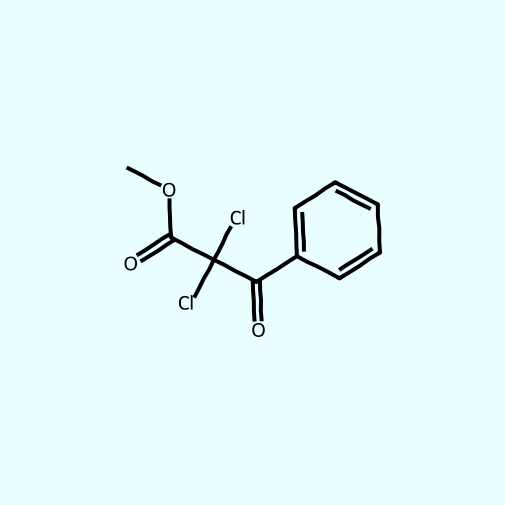 COC(=O)C(Cl)(Cl)C(=O)c1ccccc1